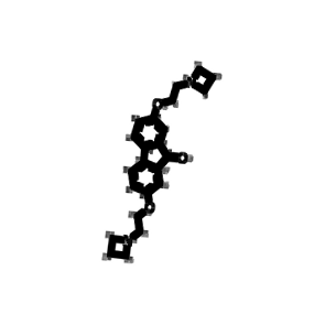 O=C1c2cc(OCCN3CCC3)ccc2-c2ccc(OCCN3CCC3)cc21